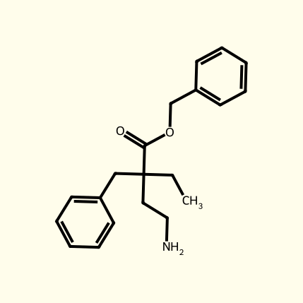 CCC(CCN)(Cc1ccccc1)C(=O)OCc1ccccc1